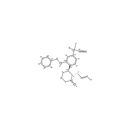 CC=CC[C@@H]1C(=O)CCC[C@H]1c1ccc(C(C)(C)CCCCCC)cc1OCc1ccccc1